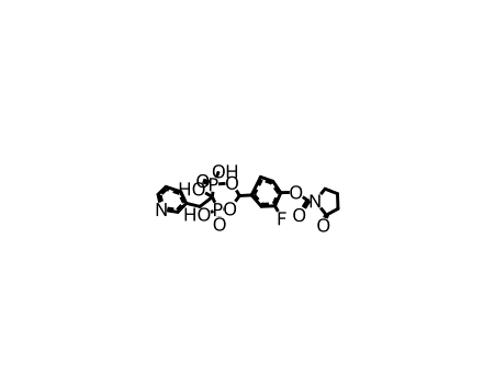 O=C1CCCN1C(=O)Oc1ccc(C2OP(=O)(O)C(O)(Cc3cccnc3)P(=O)(O)O2)cc1F